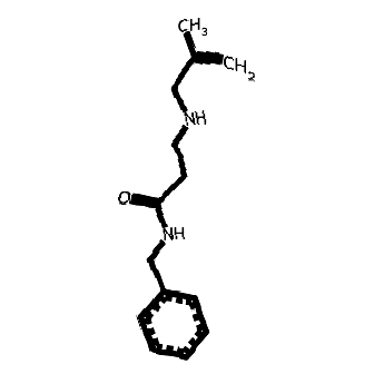 C=C(C)CNCCC(=O)NCc1ccccc1